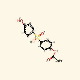 CCCC(=O)Oc1ccc(S(=O)(=O)c2ccc(O)cc2)cc1